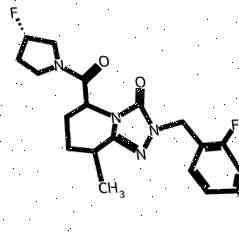 CC1CCC(C(=O)N2CC[C@H](F)C2)n2c1nn(Cc1ccc(F)cc1F)c2=O